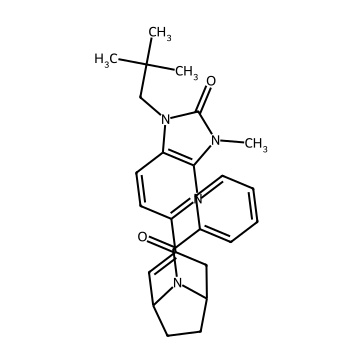 Cn1c(=O)n(CC(C)(C)C)c2ccc(C3=CC4CCC(C3)N4C(=O)c3ccccc3)nc21